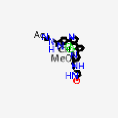 COc1nc(-c2cccc(-c3ccnc(-c4ccc5c(CNC6CN(C(C)=O)C6)cn(C)c5c4)c3Cl)c2Cl)ccc1CNC[C@@H]1CCC(=O)N1